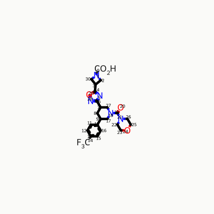 O=C(O)N1CC(c2nc(C3CC(c4ccc(C(F)(F)F)cc4)CN(C(=O)N4CCOCC4)C3)no2)C1